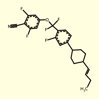 CCC=CC1CCC(c2ccc(C(F)(F)Oc3cc(F)c(C#N)c(F)c3)c(F)c2)CC1